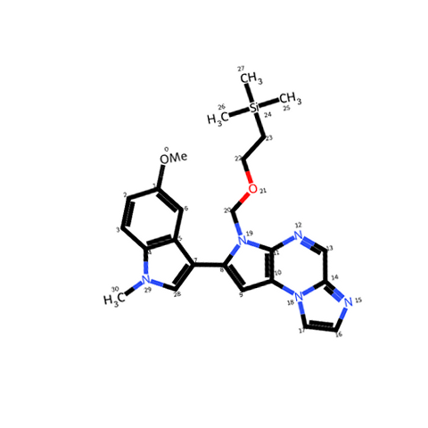 COc1ccc2c(c1)c(-c1cc3c(ncc4nccn43)n1COCC[Si](C)(C)C)cn2C